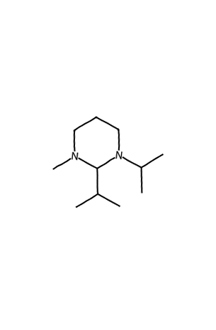 CC(C)C1N(C)CCCN1C(C)C